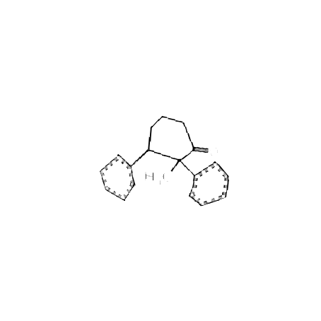 CC1(c2ccccc2)C(=O)CCCC1c1ccccc1